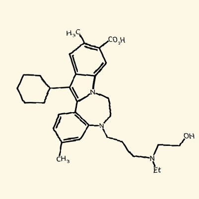 CCN(CCO)CCCN1CCn2c(c(C3CCCCC3)c3cc(C)c(C(=O)O)cc32)-c2ccc(C)cc21